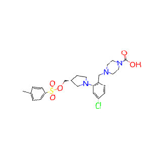 Cc1ccc(S(=O)(=O)OC[C@H]2CCN(c3cc(Cl)ccc3CN3CCN(C(=O)O)CC3)C2)cc1